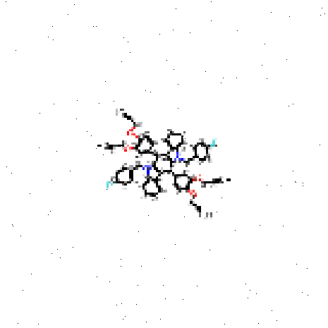 C#CCOc1ccc(C2c3c(n(Cc4ccc(F)cc4)c4ccccc34)C(c3ccc(OCC#C)c(OCC#C)c3)c3c2n(Cc2ccc(F)cc2)c2ccccc32)cc1OCC#C